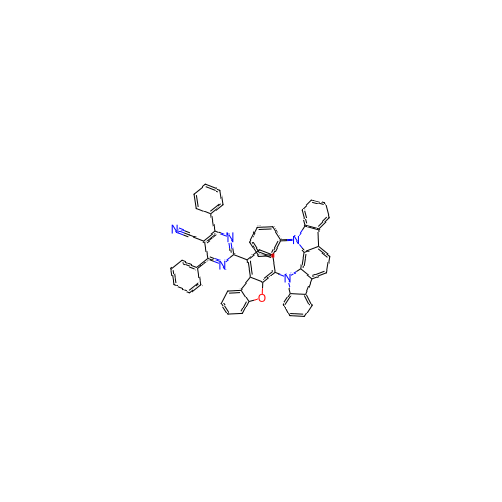 N#Cc1c(-c2ccccc2)nc(-c2ccc(-n3c4ccccc4c4ccc5c6ccccc6n(-c6ccccc6)c5c43)c3oc4ccccc4c23)nc1-c1ccccc1